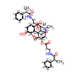 C[C@H](C(=O)NCCC(=O)OC1=CC[C@@]2(OC(=O)CCNC(=O)[C@@H](C)c3ccccc3)[C@H]3Cc4ccc(O)c5c4[C@@]2(CCN3C)[C@H]1O5)c1ccccc1